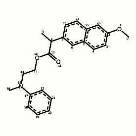 COc1ccc2cc(C(C)C(=O)OCCN(C)c3ccccc3)ccc2c1